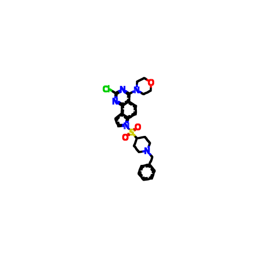 O=S(=O)(C1CCN(Cc2ccccc2)CC1)n1ccc2c3nc(Cl)nc(N4CCOCC4)c3ccc21